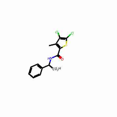 Cc1c(C(=O)NC(C(=O)O)c2ccccc2)sc(Cl)c1Cl